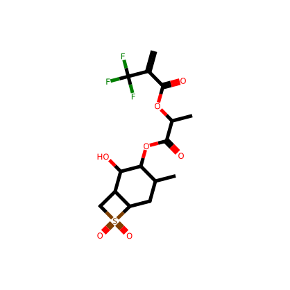 C=C(C(=O)OC(C)C(=O)OC1C(C)CC2C(CS2(=O)=O)C1O)C(F)(F)F